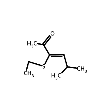 CCS/C(=C\C(C)C)C(C)=O